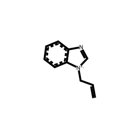 C=CC[N+]1C=Nc2ccccc21